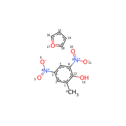 Cc1cc([N+](=O)[O-])cc([N+](=O)[O-])c1O.c1ccoc1